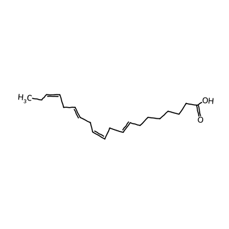 CC/C=C\C/C=C/C/C=C\C/C=C/CCCCCCC(=O)O